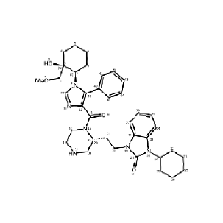 COC[C@]1(O)CCCC[C@H]1n1cnc(C(=O)N2CCNC[C@H]2CCn2c(=O)n(C3CCCCC3)c3ccccc32)c1-c1ccccc1